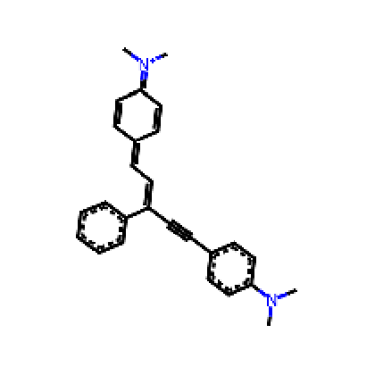 CN(C)c1ccc(C#C/C(=C/C=C2C=CC(=[N+](C)C)C=C2)c2ccccc2)cc1